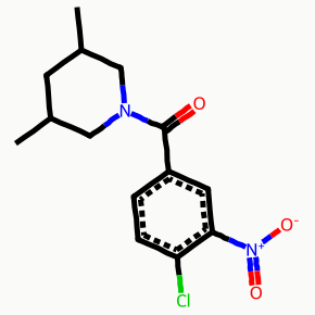 CC1CC(C)CN(C(=O)c2ccc(Cl)c([N+](=O)[O-])c2)C1